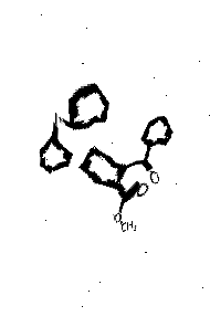 COC(=O)c1ccccc1C(=O)c1ccccc1.c1ccc([I+]c2ccccc2)cc1